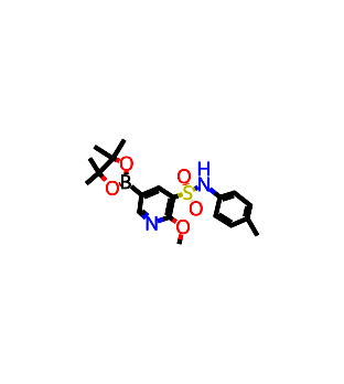 COc1ncc(B2OC(C)(C)C(C)(C)O2)cc1S(=O)(=O)Nc1ccc(C)cc1